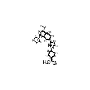 CCc1nn(C2CCCC2)c2cc(-c3ccn(-c4ccc(C(=O)O)cc4)n3)ccc12